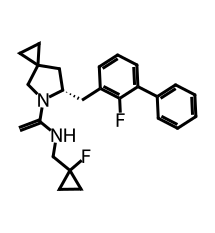 C=C(NCC1(F)CC1)N1CC2(CC2)C[C@@H]1Cc1cccc(-c2ccccc2)c1F